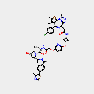 C=C(N[C@@H](C)c1ccc(-c2scnc2C)cc1)[C@@H]1C[C@@H](O)CN1C(=O)[C@@H](NC(=O)COc1ccc(O[C@H]2C[C@@H](NC(=O)CC3N=C(c4ccc(Cl)cc4)c4c(sc(C)c4C)-n4c(C)nnc43)C2)nc1)C(C)(C)C